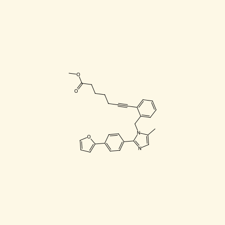 COC(=O)CCCCC#Cc1ccccc1Cn1c(C)cnc1-c1ccc(-c2ccco2)cc1